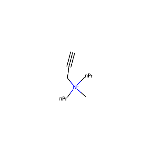 C#CC[N+](C)(CCC)CCC